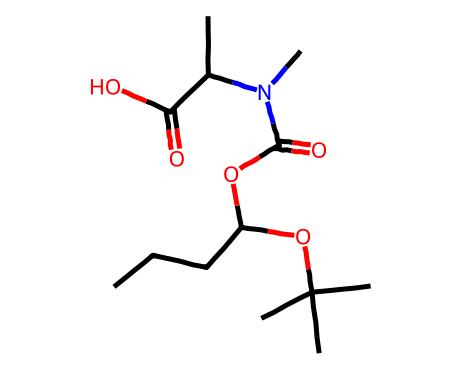 CCCC(OC(=O)N(C)C(C)C(=O)O)OC(C)(C)C